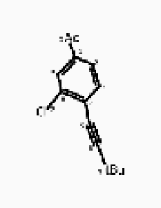 CC(=O)c1ccc(C#CC(C)(C)C)c(Cl)c1